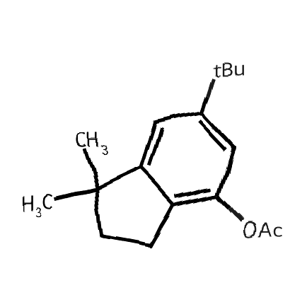 CC(=O)Oc1cc(C(C)(C)C)cc2c1CCC2(C)C